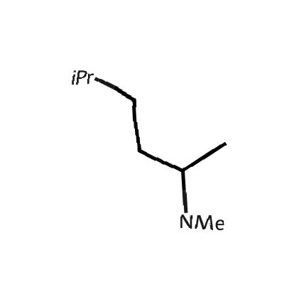 [CH2]NC(C)CCC(C)C